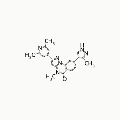 Cc1cc(-c2cc3n(C)c(=O)c4ccc(-c5c[nH]nc5C)cc4n3n2)cc(C)n1